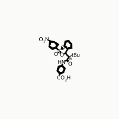 CC(C)(C)[C@@H](C(=O)Nc1ccc(C(=O)O)cc1)C(OS(=O)(=O)c1ccc([N+](=O)[O-])cc1)c1ccccc1